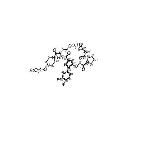 CCOC(=O)ON1CCN(C(=O)[C@H](CCC(=O)O)NC(=O)c2cc(OCC(=O)N3CCC[C@H]3C(=O)NC3CC3)n(-c3ccc(F)c(F)c3)n2)CC1